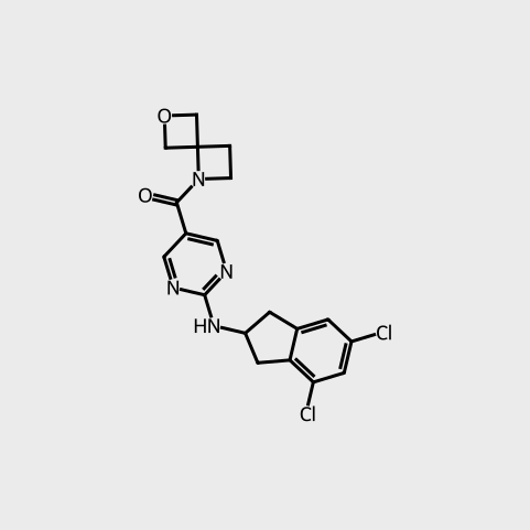 O=C(c1cnc(NC2Cc3cc(Cl)cc(Cl)c3C2)nc1)N1CCC12COC2